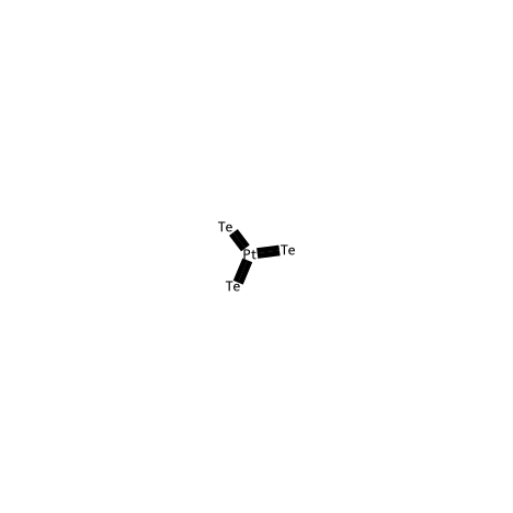 [Te]=[Pt](=[Te])=[Te]